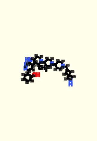 C[C@@H]1c2c([nH]c3nnc(-c4ccccc4O)cc23)CCN1C1CCN(C2CCN(CC3CC4(CNC4)C3)CC2)CC1